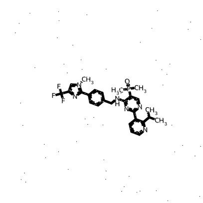 CC(C)c1ncccc1-c1ncc(P(C)(C)=O)c(NCc2ccc(-c3nc(C(F)(F)F)cn3C)cc2)n1